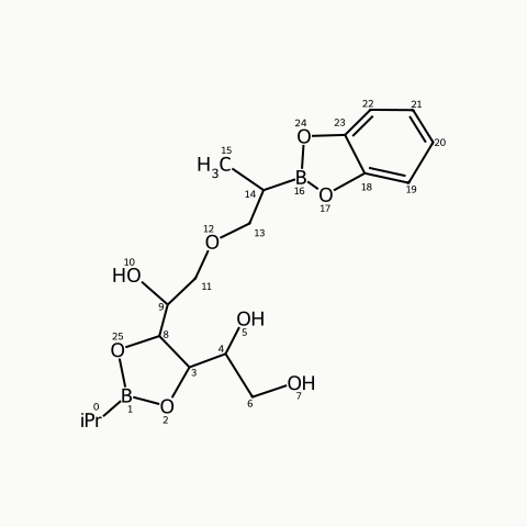 CC(C)B1OC(C(O)CO)C(C(O)COCC(C)B2Oc3ccccc3O2)O1